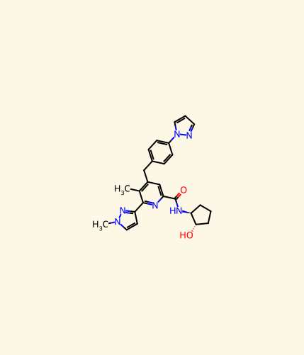 Cc1c(Cc2ccc(-n3cccn3)cc2)cc(C(=O)N[C@H]2CCC[C@@H]2O)nc1-c1ccn(C)n1